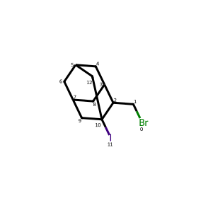 BrCC1C2CC3CC(C2)CC1(I)C3